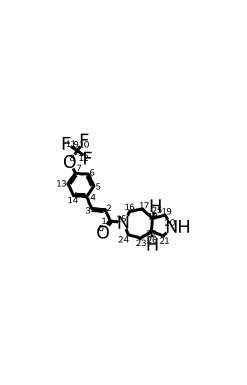 O=C(C=Cc1ccc(OC(F)(F)F)cc1)N1CC[C@@H]2CNC[C@@H]2CC1